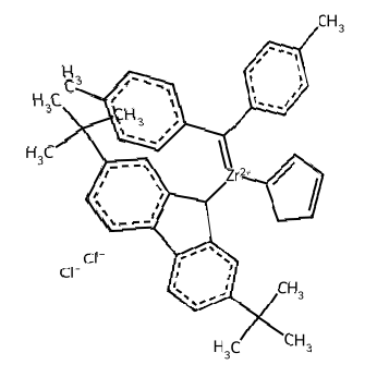 Cc1ccc([C](c2ccc(C)cc2)=[Zr+2]([C]2=CC=CC2)[CH]2c3cc(C(C)(C)C)ccc3-c3ccc(C(C)(C)C)cc32)cc1.[Cl-].[Cl-]